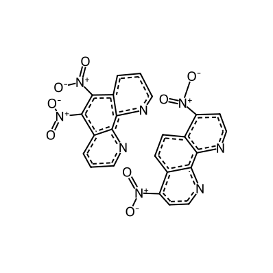 O=[N+]([O-])c1c([N+](=O)[O-])c2cccnc2c2ncccc12.O=[N+]([O-])c1ccnc2c1ccc1c([N+](=O)[O-])ccnc12